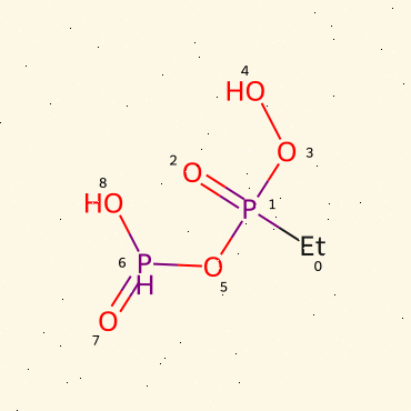 CCP(=O)(OO)O[PH](=O)O